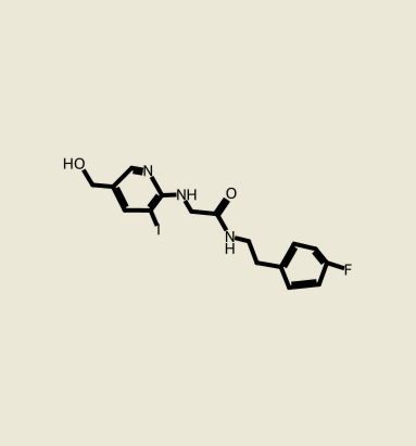 O=C(CNc1ncc(CO)cc1I)NCCc1ccc(F)cc1